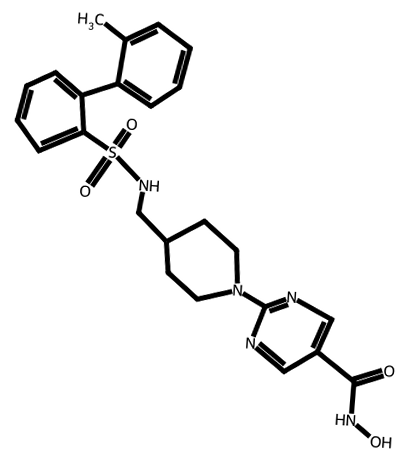 Cc1ccccc1-c1ccccc1S(=O)(=O)NCC1CCN(c2ncc(C(=O)NO)cn2)CC1